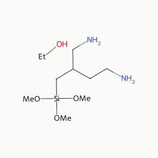 CCO.CO[Si](CC(CN)CCN)(OC)OC